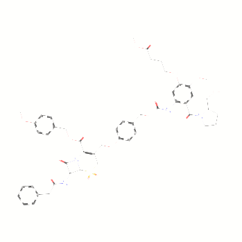 COC(=O)CCCOc1cc(NC(=O)OCc2ccc(OCC3=C(C(=O)OCc4ccc(OC)cc4)N4C(=O)C(NC(=O)Cc5ccccc5)C4S(=O)(=O)C3)cc2)c(C(=O)N2CCCC2CO)cc1OC